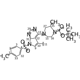 Cc1ccc(S(=O)(=O)n2cc(I)c3c(N4CCN(C(=O)OC(C)(C)C)C(C)C4)ncnc32)cc1